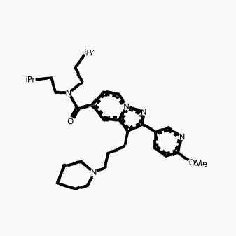 COc1ccc(-c2nn3ccc(C(=O)N(CCC(C)C)CCC(C)C)cc3c2CCCN2CCCCC2)cn1